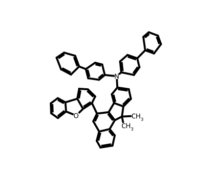 CC1(C)c2ccc(N(c3ccc(-c4ccccc4)cc3)c3ccc(-c4ccccc4)cc3)cc2-c2c(-c3cccc4c3oc3ccccc34)cc3ccccc3c21